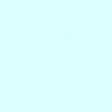 Cc1ccc(S(=O)(=O)C2C(C)C2c2ccccc2)cc1